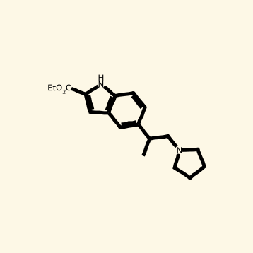 CCOC(=O)c1cc2cc(C(C)CN3CCCC3)ccc2[nH]1